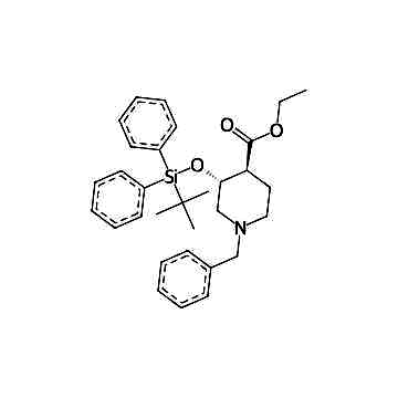 CCOC(=O)[C@H]1CCN(Cc2ccccc2)C[C@@H]1O[Si](c1ccccc1)(c1ccccc1)C(C)(C)C